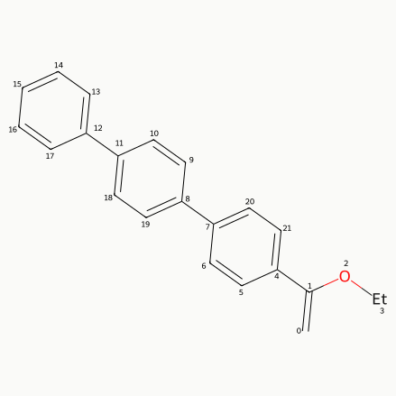 C=C(OCC)c1ccc(-c2ccc(-c3ccccc3)cc2)cc1